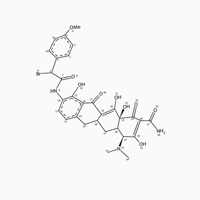 COc1ccc(C(Br)C(=O)Nc2ccc3c(c2O)C(=O)C2=C(O)[C@]4(O)C(=O)C(C(N)=O)=C(O)[C@@H](N(C)C)C4CC2C3)cc1